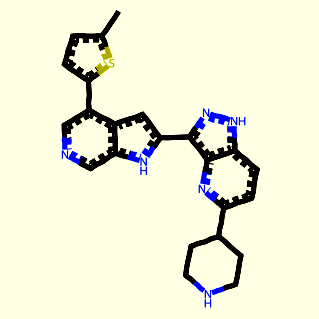 Cc1ccc(-c2cncc3[nH]c(-c4n[nH]c5ccc(C6CCNCC6)nc45)cc23)s1